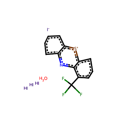 FC(F)(F)c1cccc2[s+]c3ccccc3nc12.I.I.I.O.[I-]